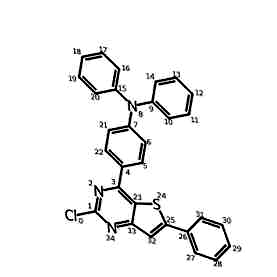 Clc1nc(-c2ccc(N(c3ccccc3)c3ccccc3)cc2)c2sc(-c3ccccc3)cc2n1